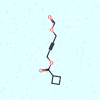 O=COCC#CCOC(=O)C1CCC1